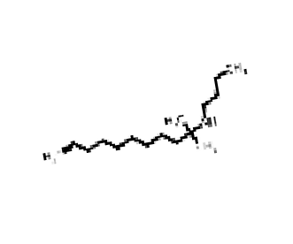 C=CCCCCCCCC(C)(C)NCCCC